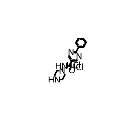 Cl.Cl.O=C(NN1CCNCC1)c1cnc(-c2ccccc2)nc1